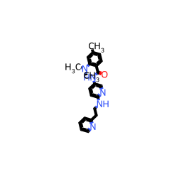 Cc1ccc(C(=O)Nc2ccc(NCCc3ccccn3)nc2)c(N(C)C)c1